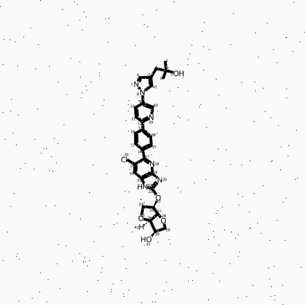 CC(C)(O)Cc1cnn(-c2ccc(-c3ccc(-c4nc5nc(O[C@@H]6CO[C@H]7C6OC[C@H]7O)[nH]c5cc4Cl)cc3)nc2)c1